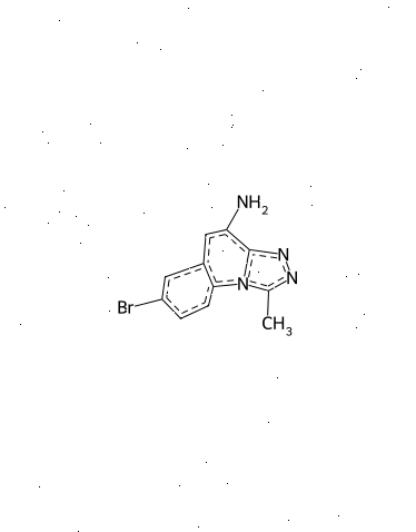 Cc1nnc2c(N)cc3cc(Br)ccc3n12